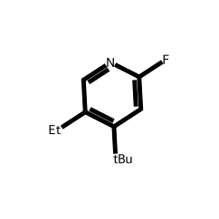 CCc1cnc(F)cc1C(C)(C)C